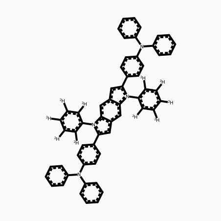 [2H]c1c([2H])c([2H])c(-n2c(-c3ccc(N(c4ccccc4)c4ccccc4)cc3)cc3cc4c(cc(-c5ccc(N(c6ccccc6)c6ccccc6)cc5)n4-c4c([2H])c([2H])c([2H])c([2H])c4[2H])cc32)c([2H])c1[2H]